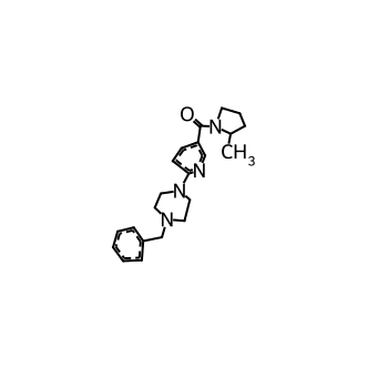 CC1CCCN1C(=O)c1ccc(N2CCN(Cc3ccccc3)CC2)nc1